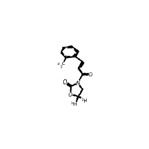 [2H]C1([2H])CN(C(=O)C=Cc2ccccc2C(F)(F)F)C(=O)O1